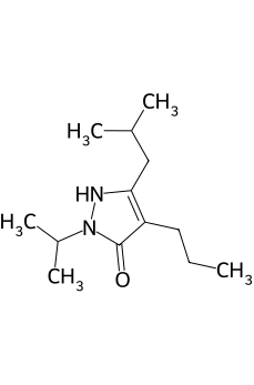 CCCc1c(CC(C)C)[nH]n(C(C)C)c1=O